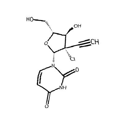 C#C[C@]1(Cl)[C@H](O)[C@@H](CO)O[C@H]1n1ccc(=O)[nH]c1=O